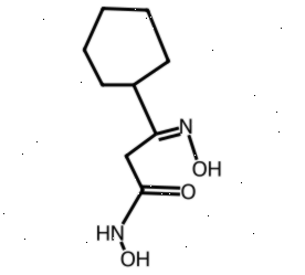 O=C(CC(=NO)C1CCCCC1)NO